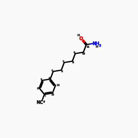 N#Cc1ccc(CCCCCCC(N)=O)cc1